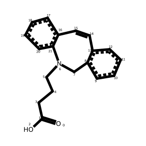 O=C(O)CCCN1Cc2ccccc2C=Cc2ccccc21